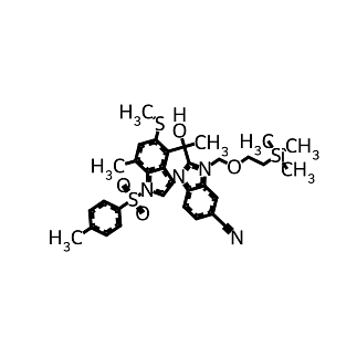 CSc1cc(C)c2c(ccn2S(=O)(=O)c2ccc(C)cc2)c1C(C)(O)c1nc2ccc(C#N)cc2n1COCC[Si](C)(C)C